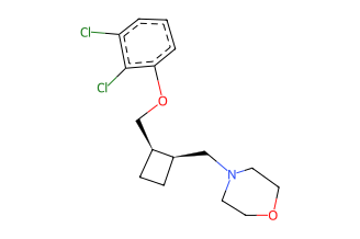 Clc1cccc(OC[C@@H]2CC[C@@H]2CN2CCOCC2)c1Cl